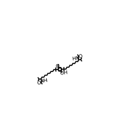 COc1cc(C(C)(C)CCCCCCCCCC(NC(C)=O)C(C)C)c(O)cc1C(C)(C)CCCCCCCCCC(NC(C)=O)C(C)C